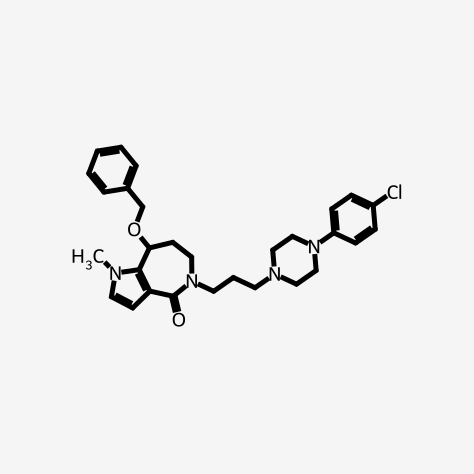 Cn1ccc2c1C(OCc1ccccc1)CCN(CCCN1CCN(c3ccc(Cl)cc3)CC1)C2=O